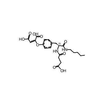 CCCCCNC(=O)[C@H](Cc1ccc(OC(=CC(=O)O)C(=O)O)cc1)NC(=O)CCC(=O)O